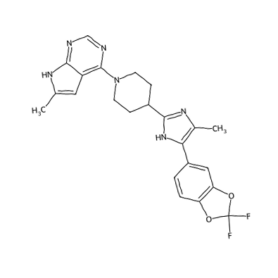 Cc1cc2c(N3CCC(c4nc(C)c(-c5ccc6c(c5)OC(F)(F)O6)[nH]4)CC3)ncnc2[nH]1